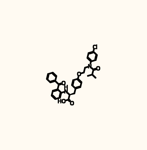 CC(C)C(=O)N(CCOc1ccc(C[C@H](Nc2ccccc2C(=O)c2ccccc2)C(=O)O)cc1)c1ccc(Cl)cc1